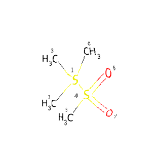 CS(C)(C)S(C)(=O)=O